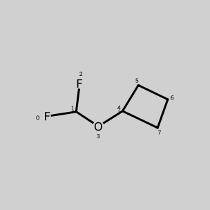 FC(F)O[C]1CCC1